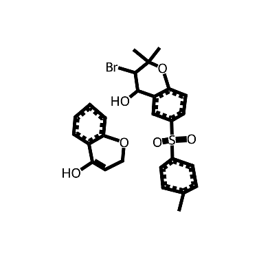 Cc1ccc(S(=O)(=O)c2ccc3c(c2)C(O)C(Br)C(C)(C)O3)cc1.OC1=CCOc2ccccc21